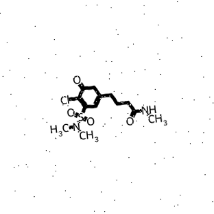 CNC(=O)CCCC1=CC(S(=O)(=O)N(C)C)=C(Cl)C(=O)C1